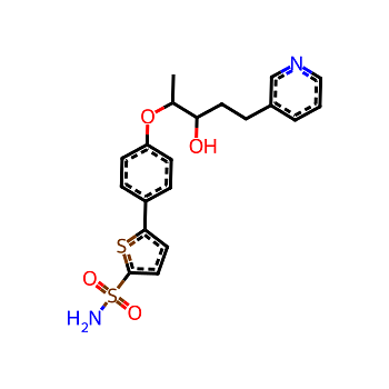 CC(Oc1ccc(-c2ccc(S(N)(=O)=O)s2)cc1)C(O)CCc1cccnc1